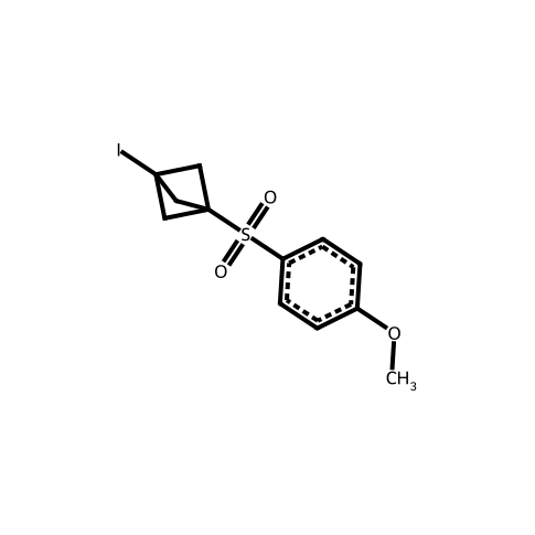 COc1ccc(S(=O)(=O)C23CC(I)(C2)C3)cc1